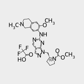 COC(=O)N1CCC[C@H]1Cn1ncc2cnc(Nc3cc4c(cc3OC)CCN(C)C4)nc21.O=C(O)C(F)(F)F